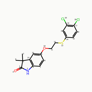 CC1(C)C(=O)Nc2ccc(OCCSc3ccc(Cl)c(Cl)c3)cc21